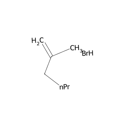 Br.C=C(C)CCCC